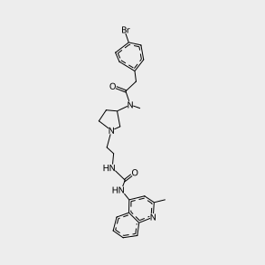 Cc1cc(NC(=O)NCCN2CCC(N(C)C(=O)Cc3ccc(Br)cc3)C2)c2ccccc2n1